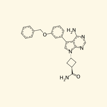 Nc1ncnc2c1c(-c1cccc(OCc3ccccc3)c1)cn2[C@H]1C[C@H](C(N)=O)C1